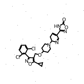 O=c1[nH]c(C2=CCC(N3CCC(OCc4c(-c5c(Cl)cccc5Cl)noc4C4CC4)CC3)N=C2)no1